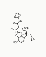 O=C(Nc1nccs1)C1=C(O)[C@@H]2Oc3c(O)ccc4c3[C@@]23CCN(CC2CC2)[C@H](C4)[C@]3(O)C1